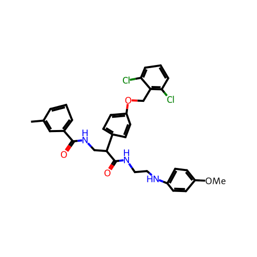 COc1ccc(NCCNC(=O)C(CNC(=O)c2cccc(C)c2)c2ccc(OCc3c(Cl)cccc3Cl)cc2)cc1